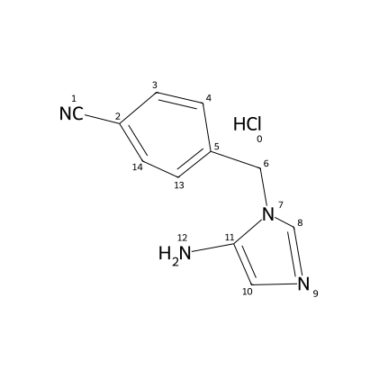 Cl.N#Cc1ccc(Cn2cncc2N)cc1